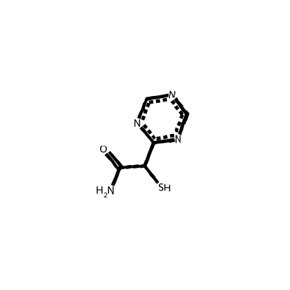 NC(=O)C(S)c1ncncn1